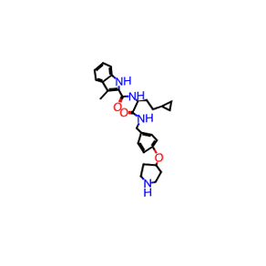 Cc1c(C(=O)N[C@@H](CCC2CC2)C(=O)NCc2ccc(OC3CCNCC3)cc2)[nH]c2ccccc12